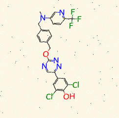 CN(Cc1ccc(COc2ncc(-c3cc(Cl)c(O)c(Cl)c3)nn2)cc1)c1ccc(C(F)(F)F)nc1